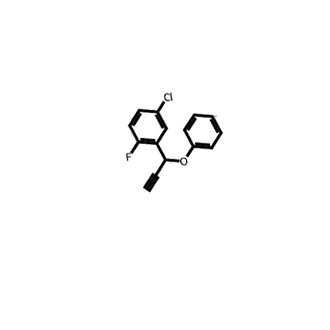 C#CC(Oc1cc[c]cc1)c1cc(Cl)ccc1F